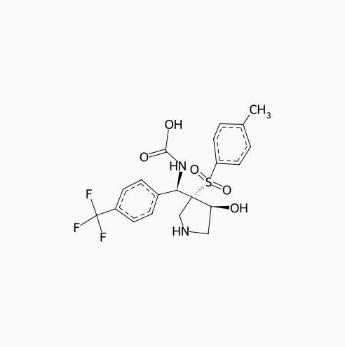 Cc1ccc(S(=O)(=O)[C@@]2([C@H](NC(=O)O)c3ccc(C(F)(F)F)cc3)CNC[C@@H]2O)cc1